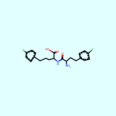 NC(CCc1ccc(F)cc1)C(=O)NC(CCCc1ccc(F)cc1)C(=O)O